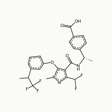 CC(c1cccc(Oc2c(C(=O)N[C@@H](C)c3ccc(C(=O)O)cc3)c(C(F)F)nn2C)c1)C(F)(F)F